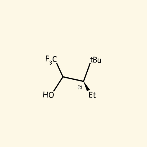 CC[C@@H](C(O)C(F)(F)F)C(C)(C)C